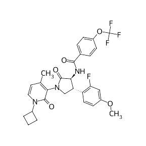 COc1ccc([C@@H]2CN(c3c(C)ccn(C4CCC4)c3=O)C(=O)[C@H]2NC(=O)c2ccc(OC(F)(F)F)cc2)c(F)c1